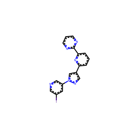 Ic1cncc(-n2cc(-c3cccc(-c4ncccn4)n3)cn2)c1